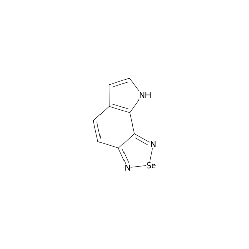 c1cc2ccc3n[se]nc3c2[nH]1